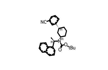 C[C@H](c1cccc2ccccc12)N(C(=O)OC(C)(C)C)[C@@H]1CCC[C@@H](c2cccc(C#N)c2)C1